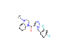 O=C(c1cncn1Cc1ccc(F)cc1F)N1CCN(C2CC2)c2ccccc21